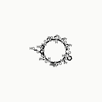 CC[C@H](C)[C@@H]1NC(=O)[C@H](CC(C)C)N(C)C(=O)[C@@H]2C[C@@H](OCCO)CN2C(=O)[C@H]([C@@H](C)O)NC(=O)[C@H](CC(C)C)N(C)C(=O)[C@H](CC(C)C)NC(=O)[C@H](CC(C)C)N(C)C(=O)[C@@H](CC(C)C)N(C)C(=O)C[C@@H](C(=O)N2CCCCC2)NC(=O)[C@H](CC(C)C)NC(=O)[C@H](CC(C)C)N(C)C1=O